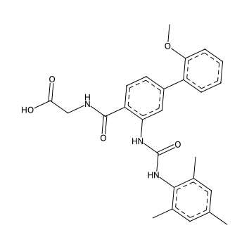 COc1ccccc1-c1ccc(C(=O)NCC(=O)O)c(NC(=O)Nc2c(C)cc(C)cc2C)c1